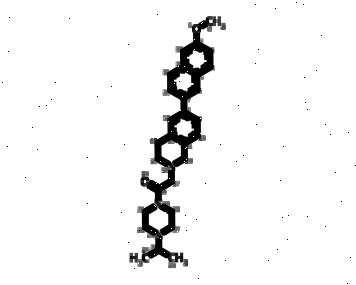 COc1ccc2cc(-c3ccc4c(c3)CCN(CC(=O)N3CCN(C(C)C)CC3)C4)ccc2c1